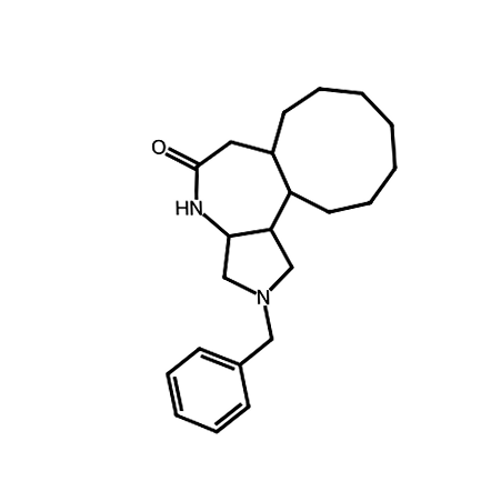 O=C1CC2CCCCCCCC2C2CN(Cc3ccccc3)CC2N1